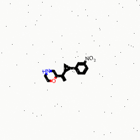 C=C(C1CNCCO1)C1CC1c1cccc([N+](=O)[O-])c1